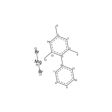 Cc1cc(C)c(-c2[c]cccc2)c(C)c1.[Br][Mg][Br]